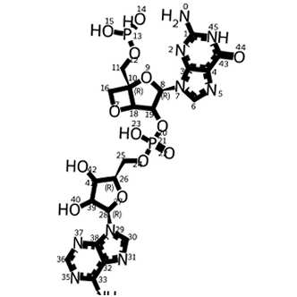 Nc1nc2c(ncn2[C@@H]2O[C@@]3(CO[PH](=O)O)COC3C2OP(=O)(O)OC[C@H]2O[C@@H](n3cnc4c(N)ncnc43)C(O)C2O)c(=O)[nH]1